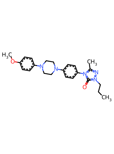 CCCn1nc(C)n(-c2ccc(N3CCN(c4ccc(OC)cc4)CC3)cc2)c1=O